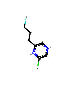 FCCCc1cncc(Cl)n1